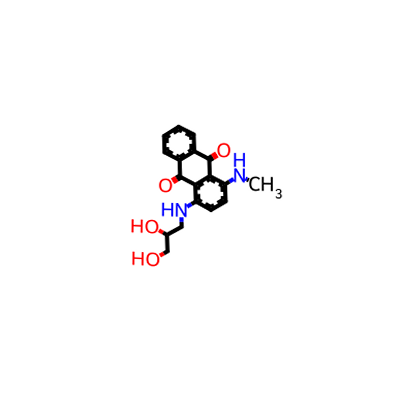 CNc1ccc(NCC(O)CO)c2c1C(=O)c1ccccc1C2=O